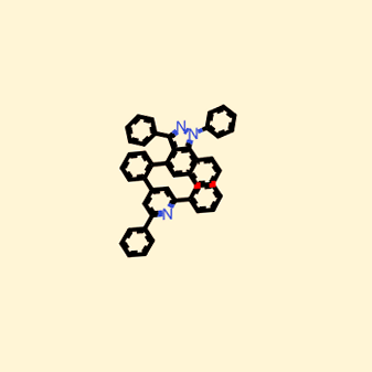 c1ccc(-c2cc(-c3ccccc3-c3cc4ccccc4c4c3c(-c3ccccc3)nn4-c3ccccc3)cc(-c3ccccc3)n2)cc1